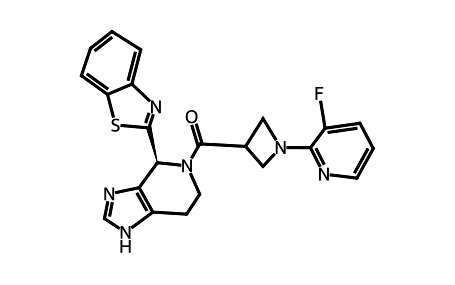 O=C(C1CN(c2ncccc2F)C1)N1CCc2[nH]cnc2[C@H]1c1nc2ccccc2s1